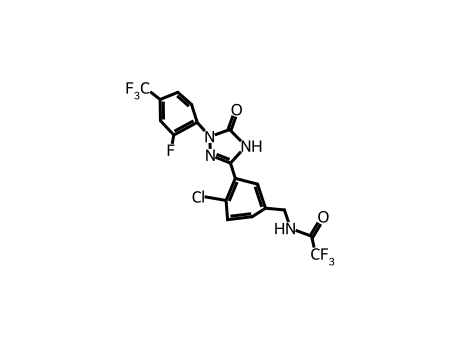 O=C(NCc1ccc(Cl)c(-c2nn(-c3ccc(C(F)(F)F)cc3F)c(=O)[nH]2)c1)C(F)(F)F